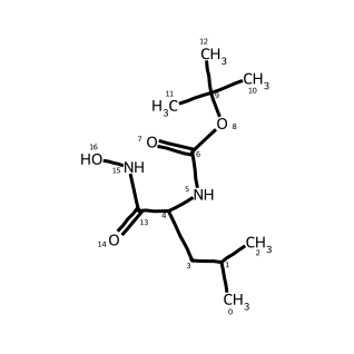 CC(C)CC(NC(=O)OC(C)(C)C)C(=O)NO